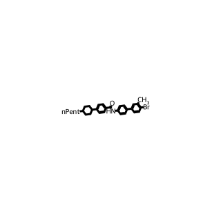 CCCCCC1CCC(c2ccc(C(=O)Nc3ccc(-c4ccc(Br)c(C)c4)cc3)cc2)CC1